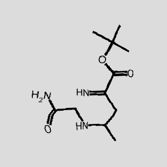 CC(CC(=N)C(=O)OC(C)(C)C)NCC(N)=O